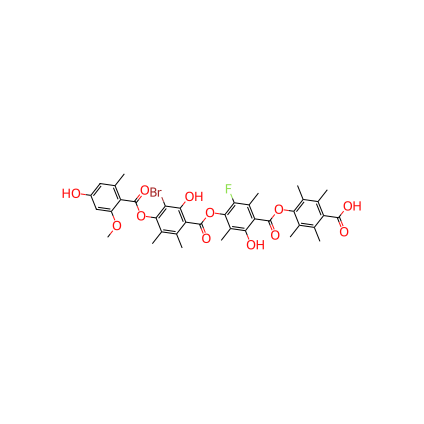 COc1cc(O)cc(C)c1C(=O)Oc1c(C)c(C)c(C(=O)Oc2c(C)c(O)c(C(=O)Oc3c(C)c(C)c(C(=O)O)c(C)c3C)c(C)c2F)c(O)c1Br